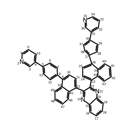 c1cncc(-c2ccc(-c3ccc(-c4nc5ccccc5nc4-c4ccc(-c5ccc(-c6cccnc6)cc5)c5ccccc45)c4ccccc34)cc2)c1